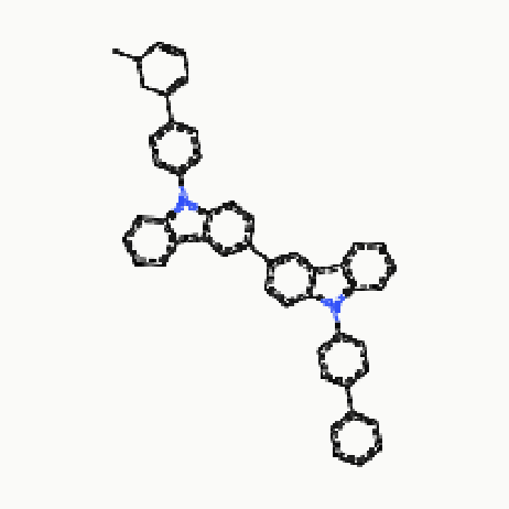 CC1C=CC=C(c2ccc(-n3c4ccccc4c4cc(-c5ccc6c(c5)c5ccccc5n6-c5ccc(-c6ccccc6)cc5)ccc43)cc2)C1